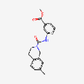 COC(=O)c1cccc(NC(=O)N2CCc3ccc(C)cc3C2)c1